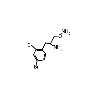 NOCC(N)Cc1ccc(Br)cc1Cl